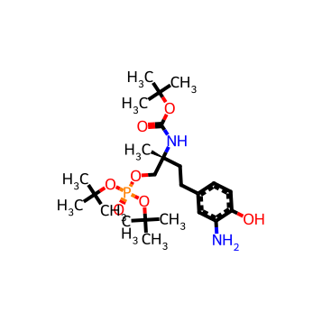 CC(C)(C)OC(=O)N[C@](C)(CCc1ccc(O)c(N)c1)COP(=O)(OC(C)(C)C)OC(C)(C)C